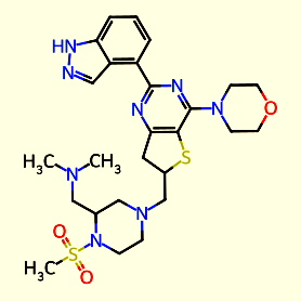 CN(C)CC1CN(CC2Cc3nc(-c4cccc5[nH]ncc45)nc(N4CCOCC4)c3S2)CCN1S(C)(=O)=O